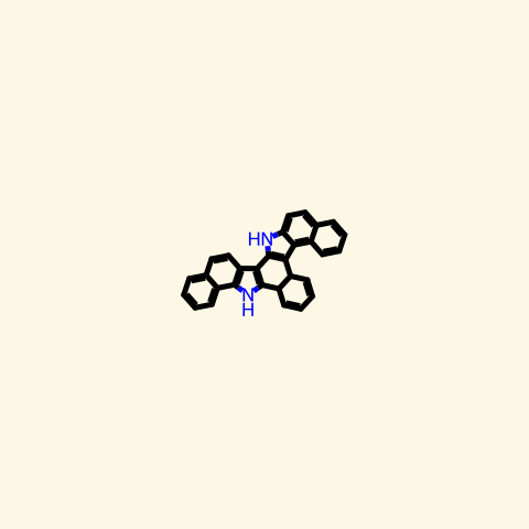 C1=CC2c3[nH]c4c(ccc5ccccc54)c3-c3[nH]c4ccc5ccccc5c4c3C2C=C1